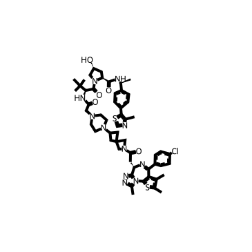 Cc1ncsc1-c1ccc([C@H](C)NC(=O)[C@@H]2C[C@@H](O)CN2C(=O)[C@@H](NC(=O)CN2CCN(C3CC4(C3)CN(C(=O)C[C@@H]3N=C(c5ccc(Cl)cc5)c5c(sc(C)c5C)-n5c(C)nnc53)C4)CC2)C(C)(C)C)cc1